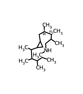 CCC(C)C(C)C(C)C1CC1C[C@@H](C)[C@H](C)C(C)CNC